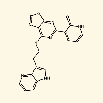 O=c1[nH]cccc1-c1nc(NCCc2c[nH]c3cccnc23)c2ncsc2n1